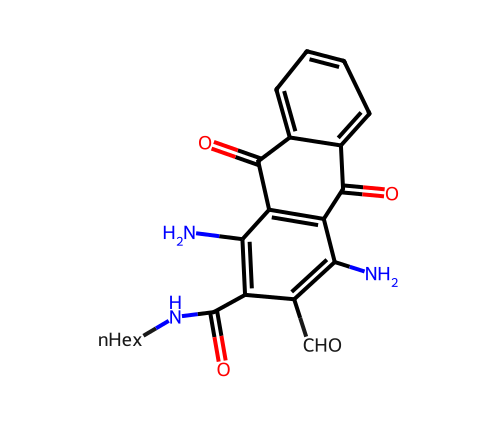 CCCCCCNC(=O)c1c(N)c2c(c(N)c1C=O)C(=O)c1ccccc1C2=O